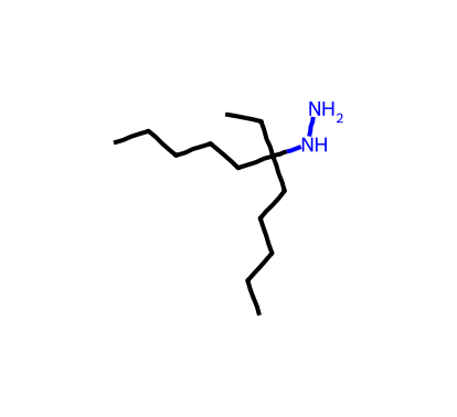 CCCCCC(CC)(CCCCC)NN